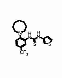 FC(F)(F)c1ccc(N2CCCCCCC2)c(NC(=S)Nc2ccsc2)c1